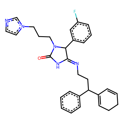 O=C1N/C(=N\CCC(C2=CCCC=C2)c2ccccc2)C(c2cccc(F)c2)N1CCCn1ccnc1